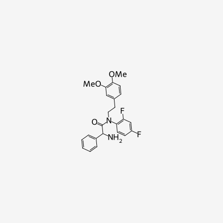 COc1ccc(CCN(C(=O)C(N)c2ccccc2)c2ccc(F)cc2F)cc1OC